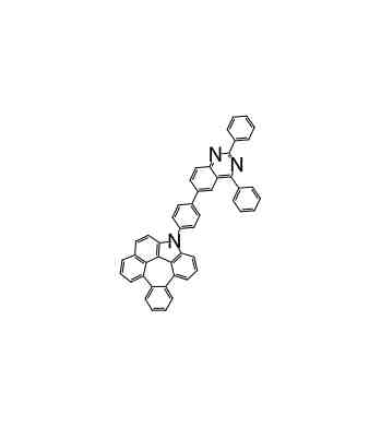 c1ccc(-c2nc(-c3ccccc3)c3cc(-c4ccc(-n5c6cccc7c6c6c8c(cccc8ccc65)-c5ccccc5-7)cc4)ccc3n2)cc1